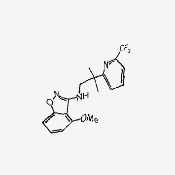 COc1cccc2onc(NCC(C)(C)c3cccc(C(F)(F)F)n3)c12